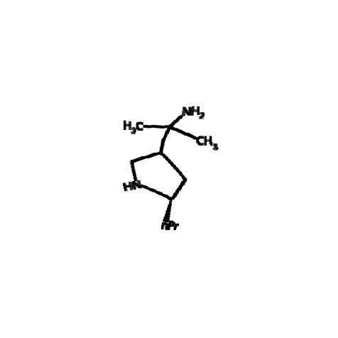 CCC[C@@H]1CC(C(C)(C)N)CN1